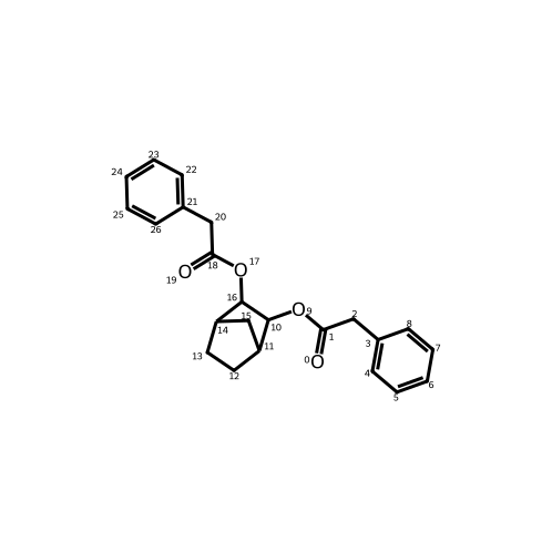 O=C(Cc1ccccc1)OC1C2CCC(C2)C1OC(=O)Cc1ccccc1